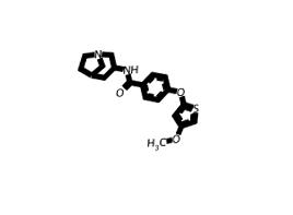 COc1csc(Oc2ccc(C(=O)NC3CC4CCN(C4)C3)cc2)c1